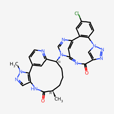 C[C@@H]1CCC[C@H](N2C=Nc3cc2nc(=O)c2cn(nn2)c2ccc(Cl)cc32)c2cc(ccn2)-c2c(cnn2C)NC1=O